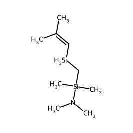 CC(C)=C[SiH2]C[Si](C)(C)N(C)C